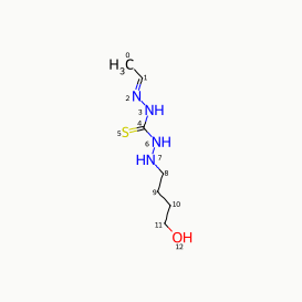 CC=NNC(=S)NNCCCCO